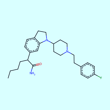 CCCCC(C(N)=O)c1ccc2c(c1)N(C1CCN(CCc3ccc(F)cc3)CC1)CC2